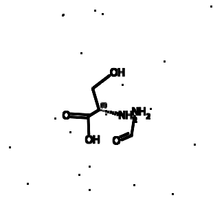 NC=O.N[C@@H](CO)C(=O)O